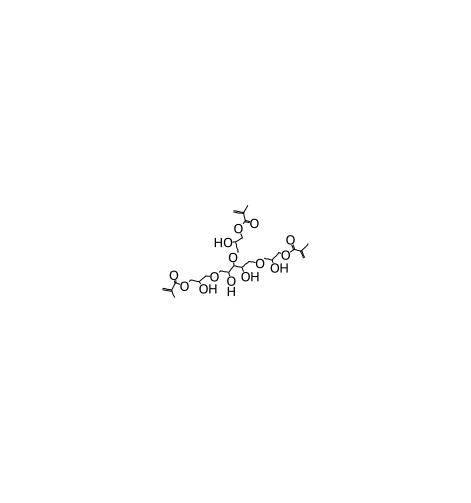 C=C(C)C(=O)OCC(O)COCC(O)C(OCC(O)COC(=O)C(=C)C)C(O)COCC(O)COC(=O)C(=C)C